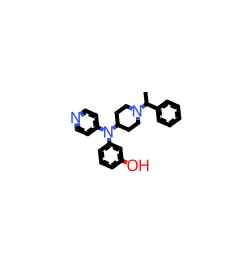 CC(c1ccccc1)N1CCC(N(c2ccncc2)c2cccc(O)c2)CC1